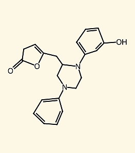 O=C1CC=C(CC2CN(c3ccccc3)CCN2c2cccc(O)c2)O1